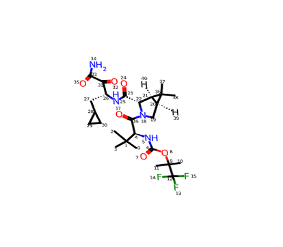 CC(C)(C)[C@H](NC(=O)OC(C)(C)C(F)(F)F)C(=O)N1C[C@H]2[C@@H]([C@H]1C(=O)N[C@H](CC1CC1)C(=O)C(N)=O)C2(C)C